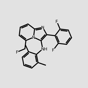 Cc1cccc(C)c1Nc1c(-c2c(F)cccc2F)nc2cccc(CF)n12